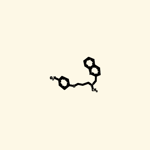 CN(CCCOc1ccc([N+](=O)[O-])cc1)Cc1ccc2ccccc2n1